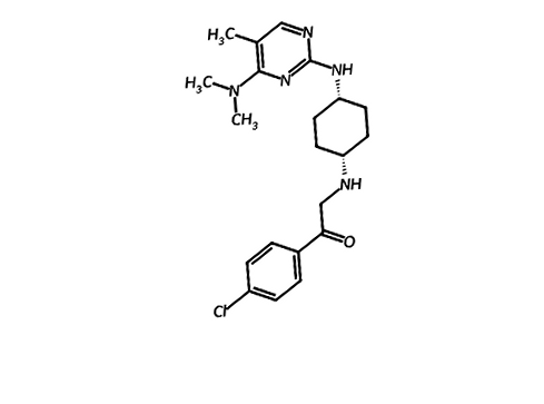 Cc1cnc(N[C@H]2CC[C@@H](NCC(=O)c3ccc(Cl)cc3)CC2)nc1N(C)C